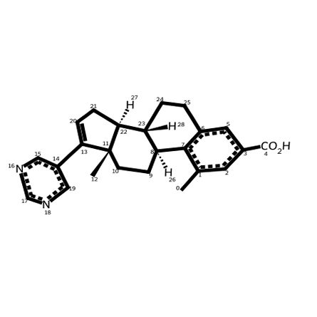 Cc1cc(C(=O)O)cc2c1[C@H]1CC[C@]3(C)C(c4cncnc4)=CC[C@H]3[C@@H]1CC2